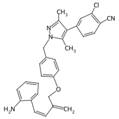 C=C(/C=C\c1ccccc1N)COc1ccc(Cn2nc(C)c(-c3ccc(C#N)c(Cl)c3)c2C)cc1